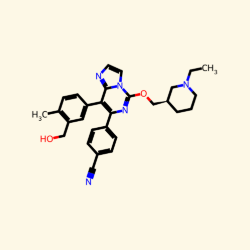 CCN1CCC[C@@H](COc2nc(-c3ccc(C#N)cc3)c(-c3ccc(C)c(CO)c3)c3nccn23)C1